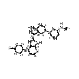 CC(C)Nc1cncc(-c2cnc3[nH]nc(-c4nc5c(-c6ccc(F)cc6)ccnc5[nH]4)c3c2)c1